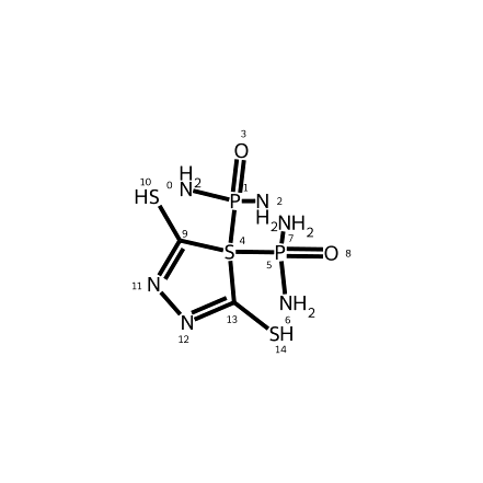 NP(N)(=O)S1(P(N)(N)=O)C(S)=NN=C1S